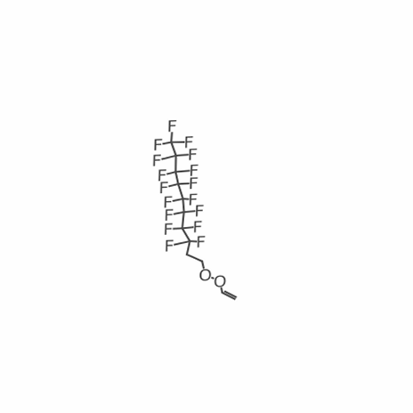 C=COOCCC(F)(F)C(F)(F)C(F)(F)C(F)(F)C(F)(F)C(F)(F)C(F)(F)C(F)(F)F